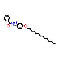 CCCCCCCCCCCCCCOc1ccc(CNC(=O)c2ccccc2)cc1